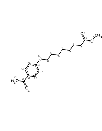 COC(=O)CCCCCCCOc1ccc(C(C)=O)cc1